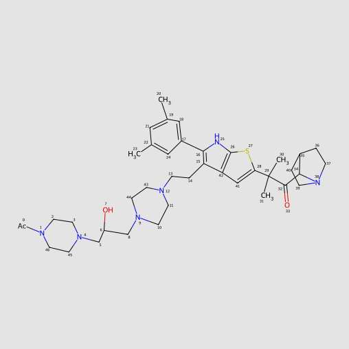 CC(=O)N1CCN(CC(O)CN2CCN(CCc3c(-c4cc(C)cc(C)c4)[nH]c4sc(C(C)(C)C(=O)C5C6CCN5CC6)cc34)CC2)CC1